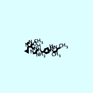 CCC(=N)/C=C(/C)Nc1ccc(CNc2nc(-c3c(OC)ncnc3C3CC3)ncc2N)cc1